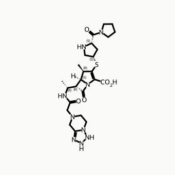 C[C@@H](NC(=O)CN1CCN2NNN=C2C1)[C@H]1C(=O)N2C(C(=O)O)=C(S[C@@H]3CN[C@H](C(=O)N4CCCC4)C3)[C@H](C)[C@H]12